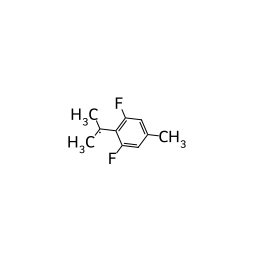 C[C](C)c1c(F)cc(C)cc1F